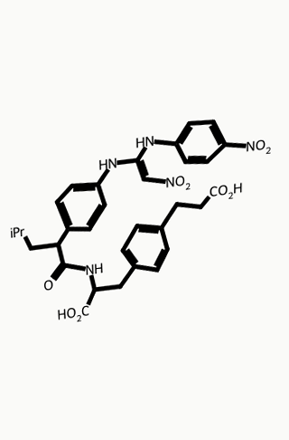 CC(C)CC(C(=O)NC(Cc1ccc(CCC(=O)O)cc1)C(=O)O)c1ccc(N/C(=C/[N+](=O)[O-])Nc2ccc([N+](=O)[O-])cc2)cc1